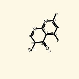 Cc1cc(C)c2c(n1)N=CC(Br)C2=O